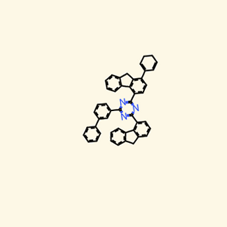 C1=CC(c2ccc(-c3nc(-c4cccc(-c5ccccc5)c4)nc(-c4cccc5c4-c4ccccc4C5)n3)c3c2Cc2ccccc2-3)=CCC1